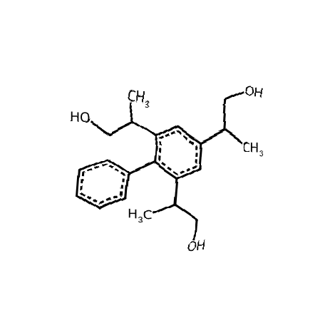 CC(CO)c1cc(C(C)CO)c(-c2ccccc2)c(C(C)CO)c1